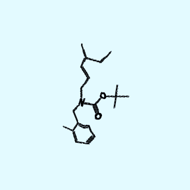 CCC(C)C=CCN(Cc1ccccc1C)C(=O)OC(C)(C)C